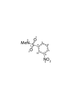 CNS(=O)(=O)c1[c]ccc([N+](=O)[O-])c1